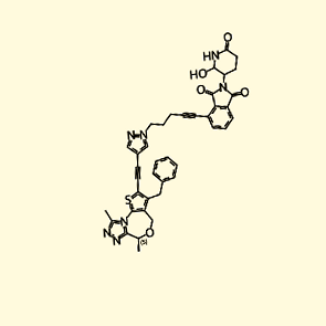 Cc1nnc2n1-c1sc(C#Cc3cnn(CCCC#Cc4cccc5c4C(=O)N(C4CCC(=O)NC4O)C5=O)c3)c(Cc3ccccc3)c1CO[C@H]2C